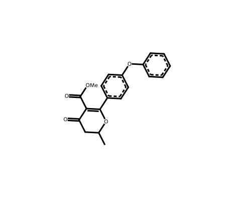 COC(=O)C1=C(c2ccc(Oc3ccccc3)cc2)OC(C)CC1=O